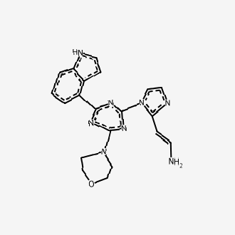 N/C=C/c1nccn1-c1nc(-c2cccc3[nH]ccc23)nc(N2CCOCC2)n1